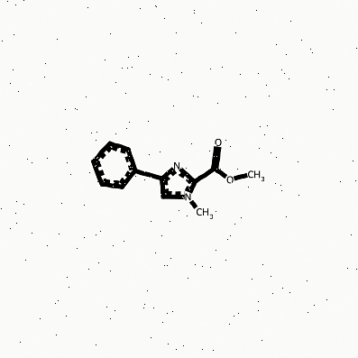 COC(=O)c1nc(-c2ccccc2)cn1C